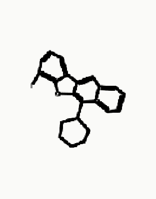 Ic1cccc2c1oc1c(C3CCCCC3)c3ccccc3cc12